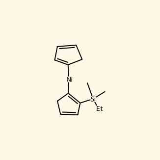 CC[Si](C)(C)C1=[C]([Ni][C]2=CC=CC2)CC=C1